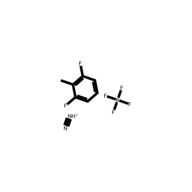 Cc1c(F)cccc1F.F[B-](F)(F)F.N#[NH+]